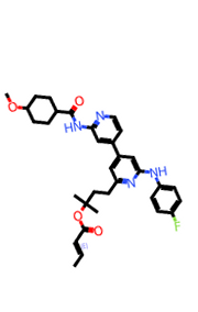 C/C=C/C(=O)OC(C)(C)CCc1cc(-c2ccnc(NC(=O)C3CCC(OC)CC3)c2)cc(Nc2ccc(F)cc2)n1